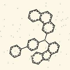 c1ccc(-c2ccc(N(c3ccc4ccc5ccccc5c4c3)c3cccc4sc5ccncc5c34)cc2)cc1